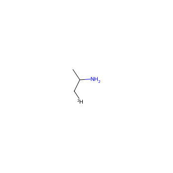 [2H]CC(C)N